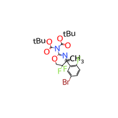 CC(C)(C)OC(=O)N(C(=O)OC(C)(C)C)C1=N[C@](C)(c2cc(Br)ccc2F)C(F)(F)CO1